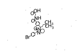 CC(C)CCC(c1ccc(C(=O)NCCC(=O)O)cc1)N1C(=O)C(c2ccc(Br)cc2)=NC12CCCCC2